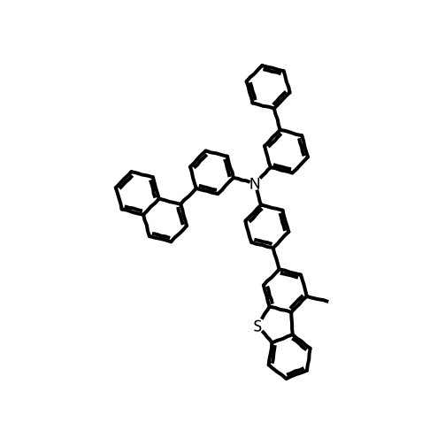 Cc1cc(-c2ccc(N(c3cccc(-c4ccccc4)c3)c3cccc(-c4cccc5ccccc45)c3)cc2)cc2sc3ccccc3c12